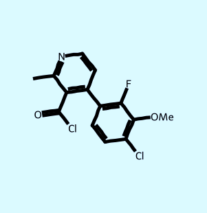 COc1c(Cl)ccc(-c2ccnc(C)c2C(=O)Cl)c1F